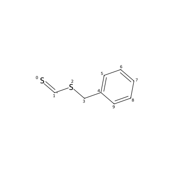 S=[C]SCc1ccccc1